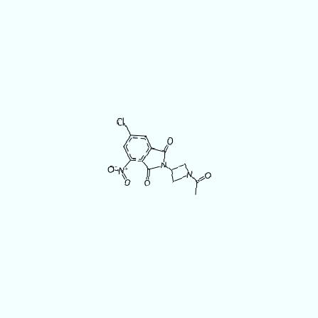 CC(=O)N1CC(N2C(=O)c3cc(Cl)cc([N+](=O)[O-])c3C2=O)C1